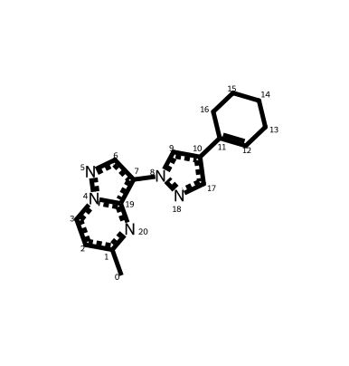 Cc1ccn2ncc(-n3cc(C4=CCCCC4)cn3)c2n1